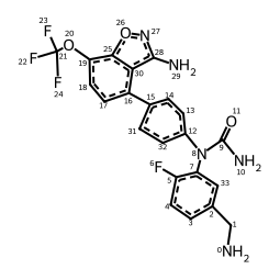 NCc1ccc(F)c(N(C(N)=O)c2ccc(-c3ccc(OC(F)(F)F)c4onc(N)c34)cc2)c1